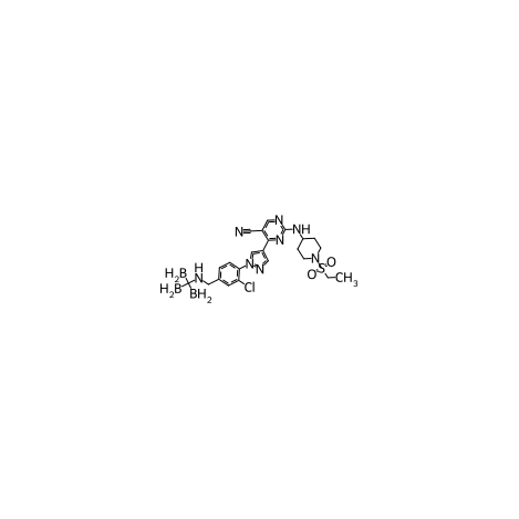 BC(B)(B)NCc1ccc(-n2cc(-c3nc(NC4CCN(S(=O)(=O)CC)CC4)ncc3C#N)cn2)c(Cl)c1